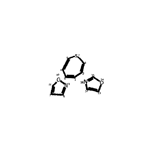 C1=CC=CSC=C1.c1cnoc1.c1cocn1